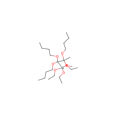 CCCCOC(C)(OC)C(OCCCC)(OCCCC)[Si](OCC)(OCC)OCC